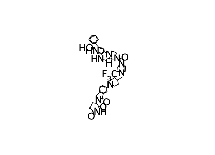 O=C1CCC(N2Cc3ccc(N4CCC(CN5CCN(C(=O)N6CCN7c8cc(-c9ccccc9O)[nH]c8NC[C@H]7C6)CC5C(F)(F)F)CC4)cc3C2=O)C(=O)N1